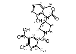 Cc1cccc2c1N(C1CCN([S+]([O-])c3cc(C(=O)O)c(Cl)cc3F)CC1)C(=O)OC2